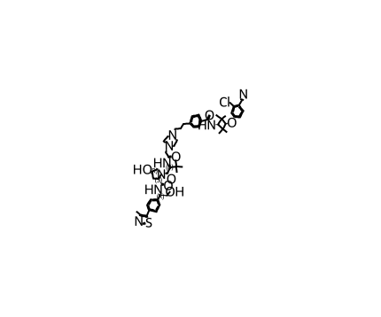 Cc1ncsc1-c1ccc([C@H](CO)NC(=O)[C@@H]2C[C@@H](O)CN2C(=O)[C@H](NC(=O)CN2CCN(CCCc3ccc(C(=O)N[C@H]4C(C)(C)[C@H](Oc5ccc(C#N)c(Cl)c5)C4(C)C)cc3)CC2)C(C)(C)C)cc1